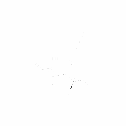 N[C@@H]([C@H](O)[C@H](O)CO)[C@@H](N)C=O.[Cl-].[Cl-].[Cl-].[Cl-].[Pt+4]